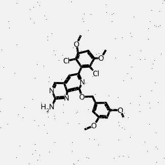 COc1cc(COc2nc(-c3c(Cl)c(OC)cc(OC)c3Cl)cc3cnc(N)nc23)cc(OC)c1